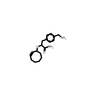 NCc1ccc(CC(OC2C#CCCCCC2)C(N)=O)cc1